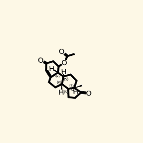 CC(=O)OC1CC(=O)C=C2CC[C@@H]3[C@H](CC[C@]4(C)C(=O)CC[C@@H]34)[C@H]21